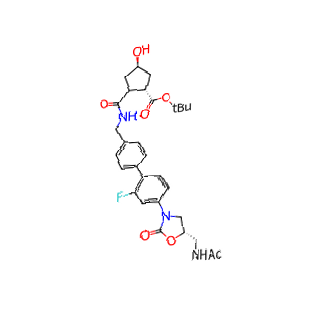 CC(=O)NC[C@H]1CN(c2ccc(-c3ccc(CNC(=O)C4C[C@@H](O)C[C@@H]4C(=O)OC(C)(C)C)cc3)c(F)c2)C(=O)O1